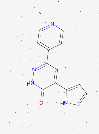 O=c1[nH]nc(-c2ccncc2)cc1-c1ccc[nH]1